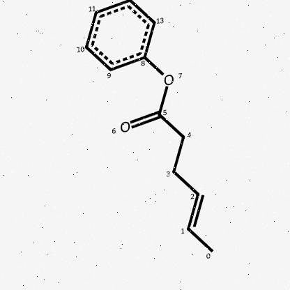 C/C=C/CCC(=O)Oc1ccccc1